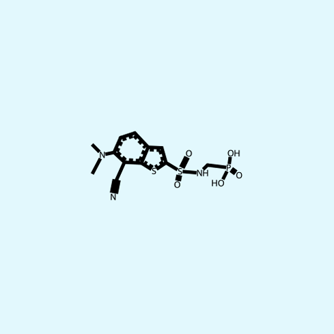 CN(C)c1ccc2cc(S(=O)(=O)NCP(=O)(O)O)sc2c1C#N